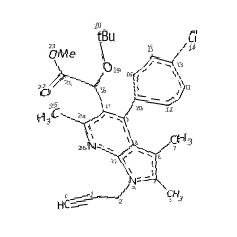 C#CCn1c(C)c(C)c2c(-c3ccc(Cl)cc3)c(C(OC(C)(C)C)C(=O)OC)c(C)nc21